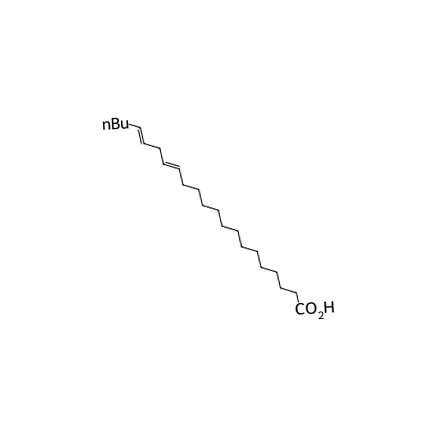 CCCCC=CCC=CCCCCCCCCCCCCC(=O)O